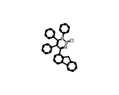 ClN1N=C(c2cccc3c2Cc2ccccc2-3)C(c2ccccc2)=C(c2ccccc2)N1c1ccccc1